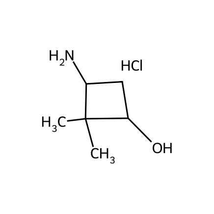 CC1(C)C(N)CC1O.Cl